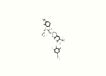 N#Cc1cc(F)c(COc2nc3c(cc2C(F)(F)F)CCN(Cc2nc4ccc(C(=O)O)c(F)c4n2C[C@@H]2CCO2)C3)c(F)c1